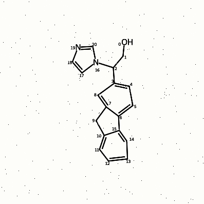 OCC(c1ccc2c(c1)Cc1ccccc1-2)n1ccnc1